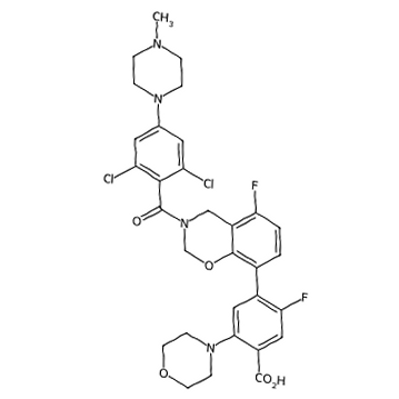 CN1CCN(c2cc(Cl)c(C(=O)N3COc4c(-c5cc(N6CCOCC6)c(C(=O)O)cc5F)ccc(F)c4C3)c(Cl)c2)CC1